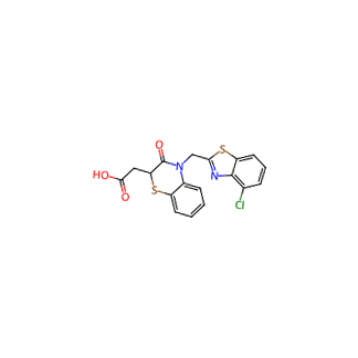 O=C(O)CC1Sc2ccccc2N(Cc2nc3c(Cl)cccc3s2)C1=O